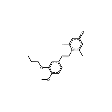 CCCOc1cc(C=Cn2c(C)cc(=O)cc2C)ccc1OC